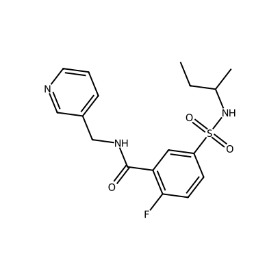 CCC(C)NS(=O)(=O)c1ccc(F)c(C(=O)NCc2cccnc2)c1